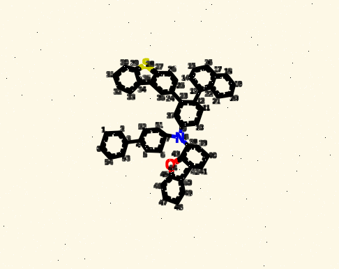 c1ccc(-c2ccc(N(c3ccc(-c4cccc5ccccc45)c(-c4ccc5sc6ccccc6c5c4)c3)c3cccc4c3oc3ccccc34)cc2)cc1